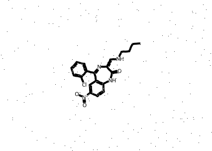 CCCCNC=C1N=C(c2ccccc2Cl)c2cc([N+](=O)[O-])ccc2NC1=O